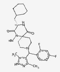 CCCCN1C(=O)[C@H](CC2CCCCC2)NC(=O)C12CCN(C(c1ccc(F)cc1F)c1c(C)n[nH]c1C)CC2